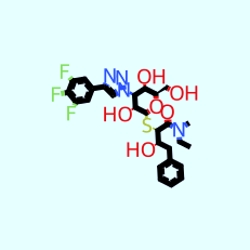 CCN(C)C(=O)[C@@H](S[C@@H]1O[C@H](CO)[C@H](O)[C@H](n2cc(-c3cc(F)c(F)c(F)c3)nn2)[C@H]1O)[C@@H](O)Cc1ccccc1